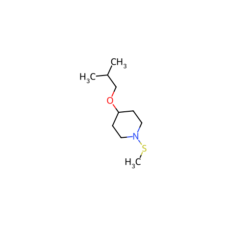 CSN1CCC(OCC(C)C)CC1